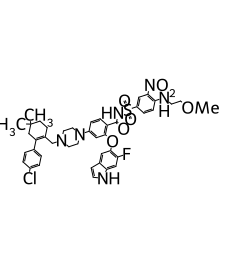 COCCNc1ccc(S(=O)(=O)NC(=O)c2ccc(N3CCN(CC4=C(c5ccc(Cl)cc5)CC(C)(C)CC4)CC3)cc2Oc2cc3cc[nH]c3cc2F)cc1[N+](=O)[O-]